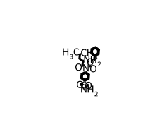 CC(C)CC(N)C(=O)N(C(=O)OCc1ccccc1)c1ccc(S(N)(=O)=O)cc1